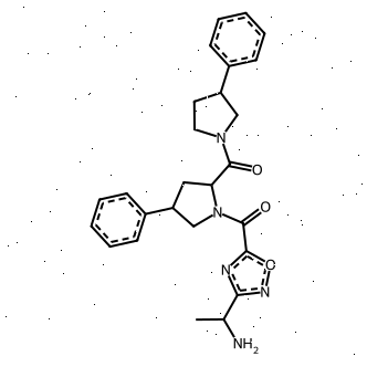 CC(N)c1noc(C(=O)N2CC(c3ccccc3)CC2C(=O)N2CCC(c3ccccc3)C2)n1